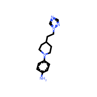 Nc1ccc(N2CCC(CCn3cncn3)CC2)cc1